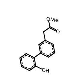 COC(=O)Cc1cccc(-c2ccccc2O)c1